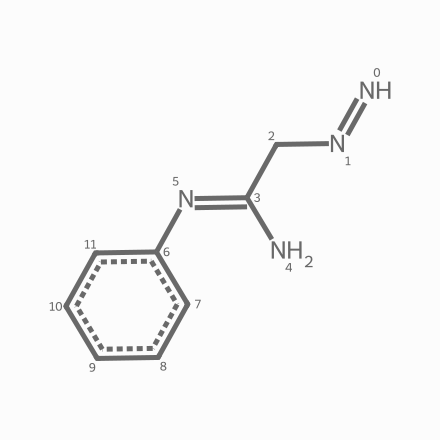 N=NCC(N)=Nc1ccccc1